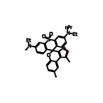 CCCN(CC)c1ccc2c(c1)S(=O)(=O)c1cc(N(C)CC)ccc1C21Oc2ccc(C)cc2-c2c(C)c3ccccn3c21